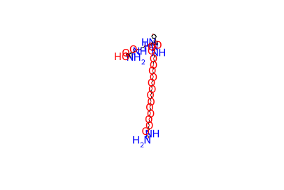 NCCNC(=O)CCOCCOCCOCCOCCOCCOCCOCCOCCOCCOCCOCCOCCNC(=O)CNC(=O)[C@H](Cc1ccccc1)NC(=O)CCCCCCCNC(=O)CC[C@H](N)C(=O)O